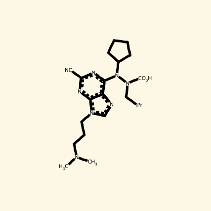 CC(C)CN(C(=O)O)N(c1nc(C#N)nc2c1ncn2CCCN(C)C)C1CCCC1